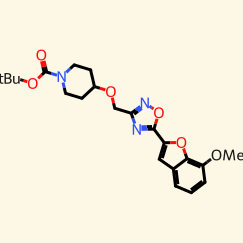 COc1cccc2cc(-c3nc(COC4CCN(C(=O)OC(C)(C)C)CC4)no3)oc12